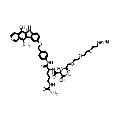 Cc1c2ccncc2c(C)c2c1[nH]c1ccc(OCc3ccc(NC(=O)C(CCCNC(N)=O)NC(=O)C(NC(=O)COCCOCCOCCN=[N+]=[N-])C(C)C)cc3)cc12